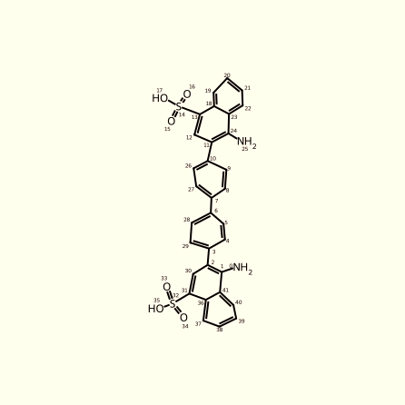 Nc1c(-c2ccc(-c3ccc(-c4cc(S(=O)(=O)O)c5ccccc5c4N)cc3)cc2)cc(S(=O)(=O)O)c2ccccc12